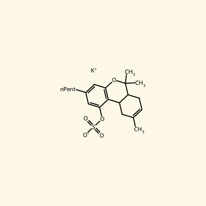 CCCCCc1cc2c(c(OS(=O)(=O)[O-])c1)C1CC(C)=CCC1C(C)(C)O2.[K+]